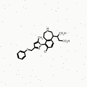 Cc1cc(CSc2ccccc2)nn1-c1c(Cl)ccc2c1CCNCC2C(CC(=O)O)C(=O)O